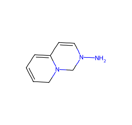 NN1C=CC2=CC=CCN2C1